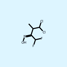 CC(C(=NO)C(F)F)C(Cl)Cl